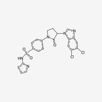 O=C1C(n2cnc3cc(Cl)c(Cl)cc32)CCN1c1ccc(S(=O)(=O)Nc2nccs2)cc1